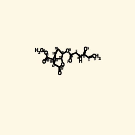 C=CC(=O)NCC(=O)OC1C2CC3C1OC(=O)C3C2C(=O)OC